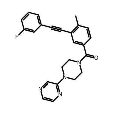 Cc1ccc(C(=O)N2CCN(c3cnccn3)CC2)cc1C#Cc1cccc(F)c1